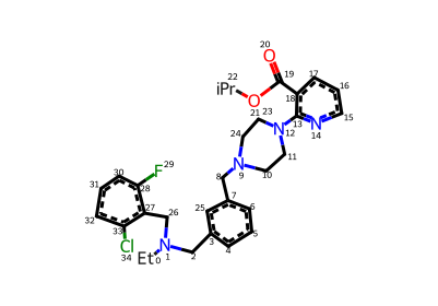 CCN(Cc1cccc(CN2CCN(c3ncccc3C(=O)OC(C)C)CC2)c1)Cc1c(F)cccc1Cl